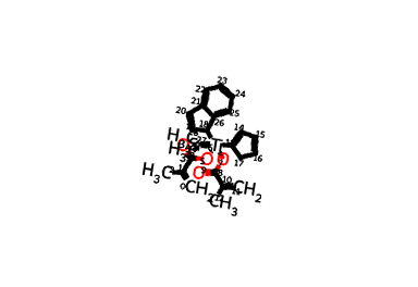 C=C(C)C(=O)[O][Ti]([O]C(=O)C(=C)C)([C]1=CC=CC1)([CH]1C=Cc2ccccc21)=[Si](C)C